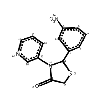 O=C1CSC(c2cccc([N+](=O)[O-])c2)N1c1cccnc1